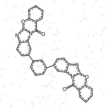 O=c1c2ccccc2oc2nc3ccc(-c4cccc(-c5ccc6nc7oc8ccccc8c(=O)n7c6c5)c4)cc3n12